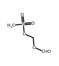 CS(=O)(=O)OCO[C]=O